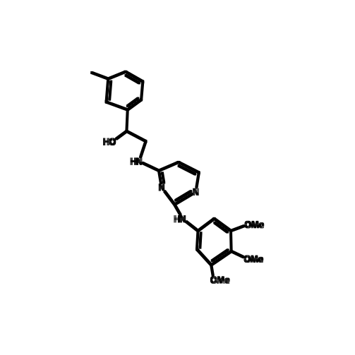 COc1cc(Nc2nccc(NCC(O)c3cccc(C)c3)n2)cc(OC)c1OC